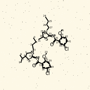 CCCCN1CC(C(C)C)SC1=NC(=O)c1cc(Cl)ccc1OC.CCCCN1CC(C)SC1=NC(=O)c1cc(Cl)ccc1OC